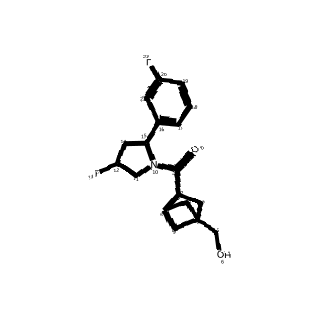 O=C(C1CC2(CO)CC1C2)N1CC(F)CC1c1cccc(F)c1